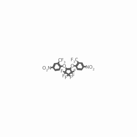 O=[N+]([O-])c1ccc(OC2=C(Oc3ccc([N+](=O)[O-])cc3C(F)(F)F)C(F)(F)C(F)(F)C2(F)F)c(C(F)(F)F)c1